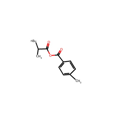 CCCCC(C)C(=O)OC(=O)c1ccc(C)cc1